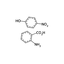 Nc1ccccc1C(=O)O.O=[N+]([O-])c1ccc(O)cc1